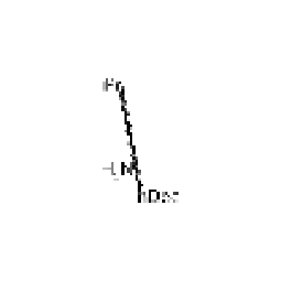 CCCCCCCCCCCCCCC(N)CCCCCCCCCCCCCC(C)C